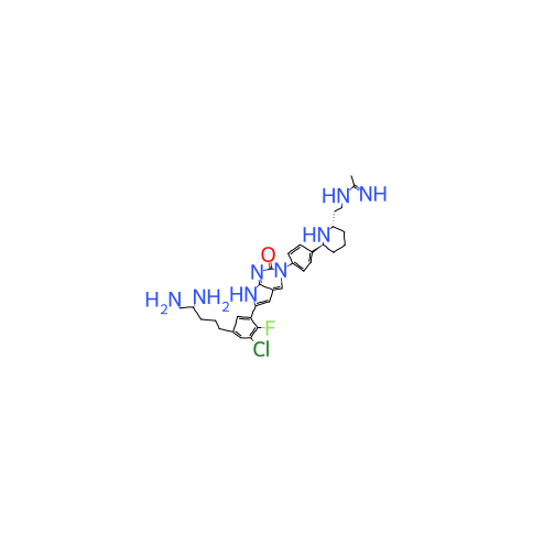 CC(=N)NCC[C@@H]1CCC[C@@H](c2ccc(-n3cc4cc(-c5cc(CCC[C@@H](N)CN)cc(Cl)c5F)[nH]c4nc3=O)cc2)N1